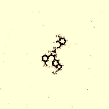 Cc1cccc(-c2[nH]c(NCc3cccc(Cl)c3F)nc2-c2ccc3c(cnn3C)c2)n1